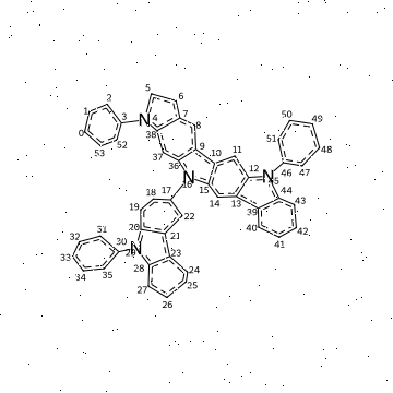 c1ccc(-n2ccc3cc4c5cc6c(cc5n(-c5ccc7c(c5)c5ccccc5n7-c5ccccc5)c4cc32)c2ccccc2n6-c2ccccc2)cc1